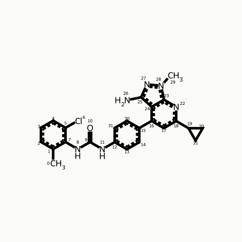 Cc1cccc(Cl)c1NC(=O)Nc1ccc(-c2cc(C3CC3)nc3c2c(N)nn3C)cc1